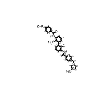 Cc1c(NC(=O)c2ccc(C=O)cn2)cccc1-c1cccc(NC(=O)c2ccc(CN3CC[C@@H](O)C3)cn2)c1Cl